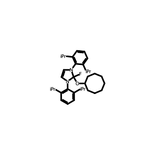 CC(C)c1cccc(C(C)C)c1N1C=CN(c2c(C(C)C)cccc2C(C)C)C1(F)OC1CCCCCCC1